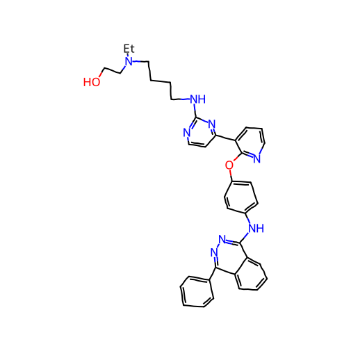 CCN(CCO)CCCCNc1nccc(-c2cccnc2Oc2ccc(Nc3nnc(-c4ccccc4)c4ccccc34)cc2)n1